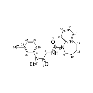 CCN(C(=O)CNC(=O)N1CCCCc2ccccc21)c1cccc(F)c1